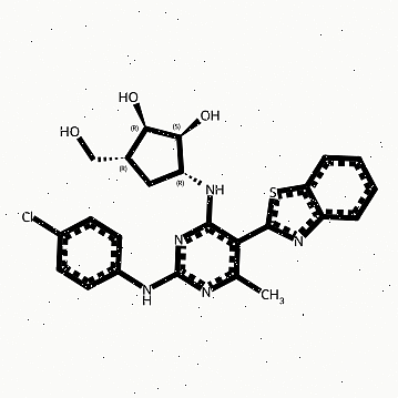 Cc1nc(Nc2ccc(Cl)cc2)nc(N[C@@H]2C[C@H](CO)[C@@H](O)[C@H]2O)c1-c1nc2ccccc2s1